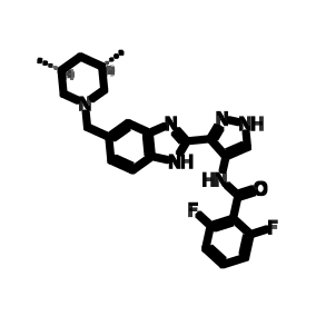 C[C@@H]1C[C@H](C)CN(Cc2ccc3[nH]c(-c4n[nH]cc4NC(=O)c4c(F)cccc4F)nc3c2)C1